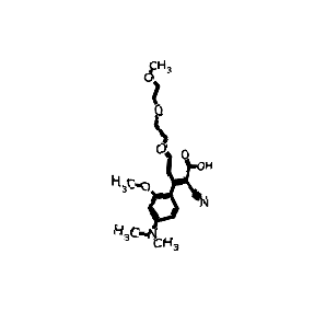 COCCOCCOCC/C(=C(/C#N)C(=O)O)c1ccc(N(C)C)cc1OC